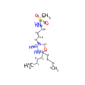 CCCCC1(CCCC)NC(=N)N(CCCCNS(C)(=O)=O)CO1